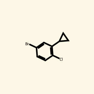 Clc1ccc(Br)cc1C1CC1